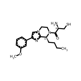 CCCC[C@H]1c2nc(-c3cccc(OC)c3)cn2CCN1C(=O)[C@@H](N)CS